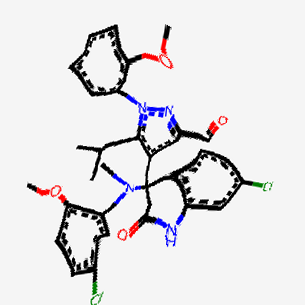 COc1ccc(Cl)cc1N(C)C1(c2c(C=O)nn(-c3ccccc3OC)c2C(C)C)C(=O)Nc2cc(Cl)ccc21